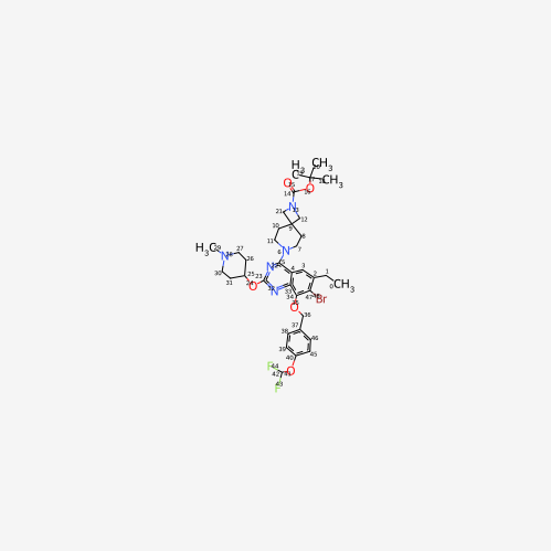 CCc1cc2c(N3CCC4(CC3)CN(C(=O)OC(C)(C)C)C4)nc(OC3CCN(C)CC3)nc2c(OCc2ccc(OC(F)F)cc2)c1Br